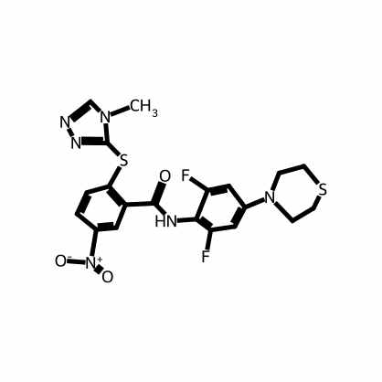 Cn1cnnc1Sc1ccc([N+](=O)[O-])cc1C(=O)Nc1c(F)cc(N2CCSCC2)cc1F